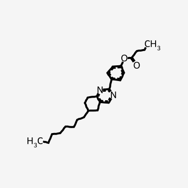 CCCCCCCCC1CCc2nc(-c3ccc(OC(=O)CCC)cc3)ncc2C1